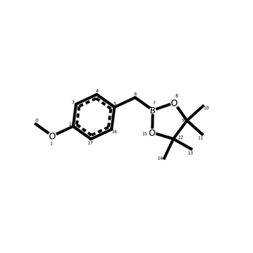 COc1ccc(CB2OC(C)(C)C(C)(C)O2)cc1